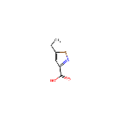 CCc1cc(C(=O)O)ns1